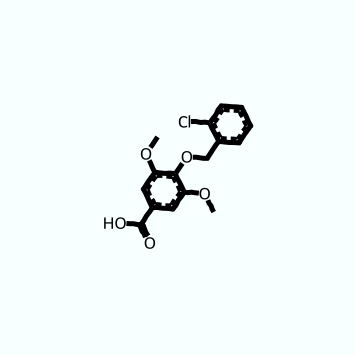 COc1cc(C(=O)O)cc(OC)c1OCc1ccccc1Cl